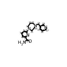 NC(=O)c1[c]ccc(N2CCCN(Cc3cccnc3)CC2)n1